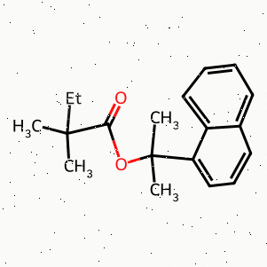 CCC(C)(C)C(=O)OC(C)(C)c1cccc2ccccc12